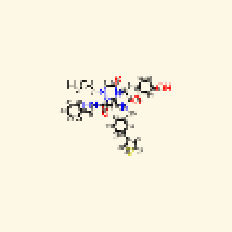 C=CCN1CC(=O)N2[C@@H](Cc3ccc(O)cc3)C(=O)N(Cc3cccc(-c4ccsc4)c3)C[C@@H]2N1C(=O)NCc1ccccc1